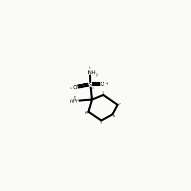 CCCC1(S(N)(=O)=O)CCCCC1